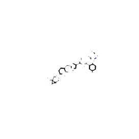 Cc1nc(N2C[C@@H]3CC3(N)C2)ccc1Cn1cc(C(=O)NCc2cc(Cl)ccc2N(N)/C=N\N)cn1